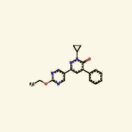 O=c1c(-c2ccccc2)cc(-c2cnc(OCC(F)(F)F)nc2)nn1C1CC1